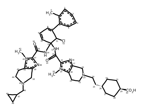 Cc1ccccc1C1=CC=CC(NC(=O)c2nc3c(n2C)CCN(CC[C@H]2CC[C@H](C(=O)O)CC2)C3)(NC(=O)c2nc3c(n2C)CCN(CC2CC2)C3)C1Cl